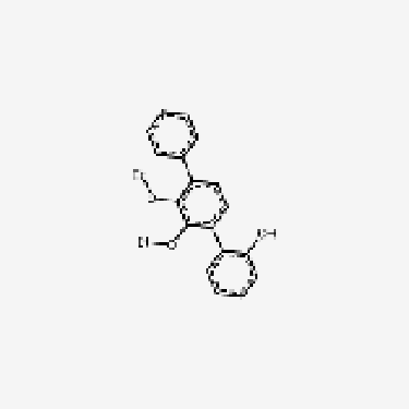 CCOc1c(-c2ccccc2)ccc(-c2ccccc2O)c1OCC